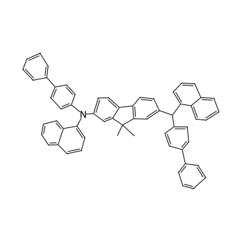 CC1(C)c2cc(C(c3ccc(-c4ccccc4)cc3)c3cccc4ccccc34)ccc2-c2ccc(N(c3ccc(-c4ccccc4)cc3)c3cccc4ccccc34)cc21